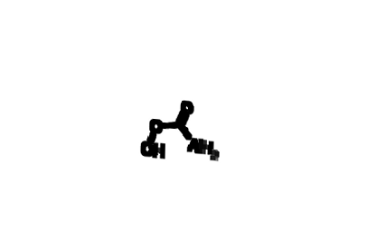 O=[C]([AlH2])OO